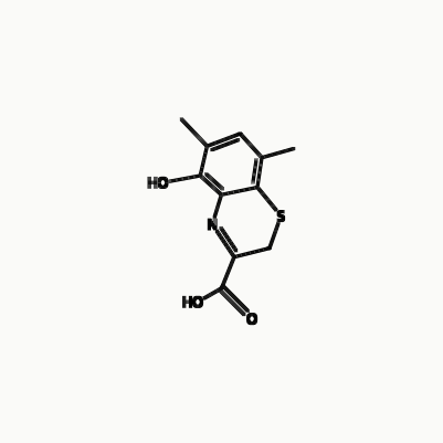 Cc1cc(C)c2c(c1O)N=C(C(=O)O)CS2